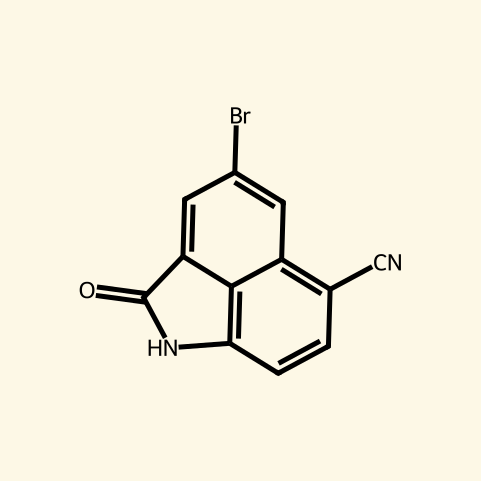 N#Cc1ccc2c3c(cc(Br)cc13)C(=O)N2